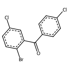 O=C(c1ccc(Cl)cc1)c1cc(Cl)ccc1Br